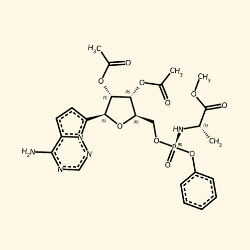 COC(=O)[C@H](C)N[P@@](=O)(OC[C@H]1O[C@@H](c2ccc3c(N)ncnn23)[C@H](OC(C)=O)[C@@H]1OC(C)=O)Oc1ccccc1